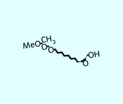 COC(C)OCOCCCCCCCC[C@@H]1O[C@H]1CO